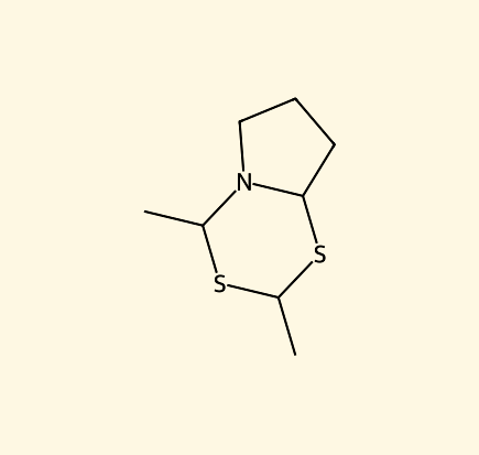 CC1SC(C)N2CCCC2S1